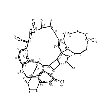 CCO[C@]1(N2CCC[S+]([O-])CCNCC2)/C=C/CC(C)C(C)[S+]([O-])NC(=O)c2ccc3c(c2)N(CC2CCC21)C[C@@]1(CCCc2cc(Cl)ccc21)CO3